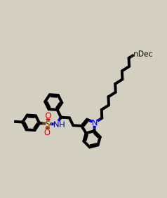 CCCCCCCCCCCCCCCCCCCCn1cc(CCC(NS(=O)(=O)c2ccc(C)cc2)c2ccccc2)c2ccccc21